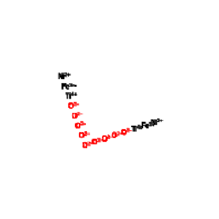 [Fe+3].[Fe+3].[Ni+2].[Ni+2].[O-2].[O-2].[O-2].[O-2].[O-2].[O-2].[O-2].[O-2].[O-2].[Ti+4].[Ti+4]